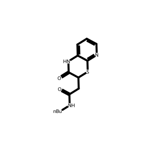 CCCCNC(=O)CC1Sc2ncccc2NC1=O